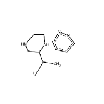 CC(C)C1CNCCN1.c1cnnnc1